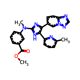 COC(=O)c1cccc(N(C)c2nc(-c3ccc4ncnn4c3)c(-c3cccc(C)n3)[nH]2)c1